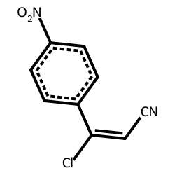 N#C/C=C(/Cl)c1ccc([N+](=O)[O-])cc1